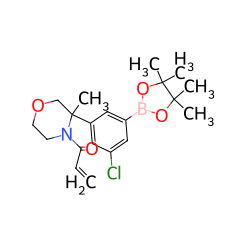 C=CC(=O)N1CCOCC1(C)c1cc(Cl)cc(B2OC(C)(C)C(C)(C)O2)c1